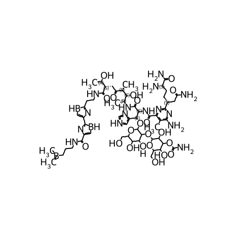 CB(C)CCCNC(=O)C1=CBC(C2=CBC(CCNC(=O)[C@@H](CC(=O)[C@@H](C)[C@H](O)[C@@H](C)NC(=O)[C@@H](NC(=O)c3nc([C@@H](CC[C@H](N)C(N)=O)CC(N)=O)nc(N)c3C)[C@@H](OC3OC(CO)C(O)C(O)C3OC3OC(CO)C(O)C(OC(N)=O)C3O)c3c[nH]cn3)[C@@H](C)O)=N2)=N1